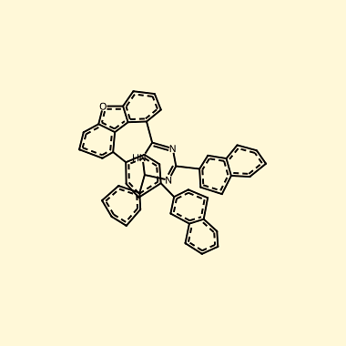 c1ccc(C2N=C(c3ccc4ccccc4c3)N=C(c3cccc4oc5cccc(-c6ccc(-c7ccc8ccccc8c7)cc6)c5c34)N2)cc1